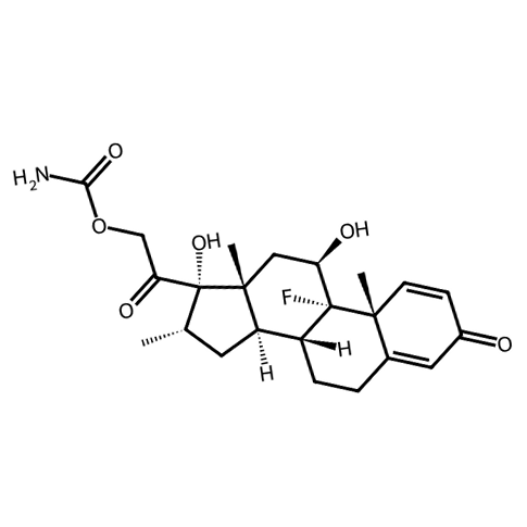 C[C@H]1C[C@@H]2[C@H]3CCC4=CC(=O)C=C[C@@]4(C)[C@]3(F)[C@H](O)C[C@@]2(C)[C@]1(O)C(=O)COC(N)=O